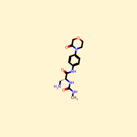 CNC(=O)N[C@H](CN)C(=O)Nc1ccc(N2CCOCC2=O)cc1